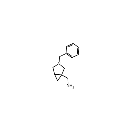 NCC12CC1CN(Cc1ccccc1)C2